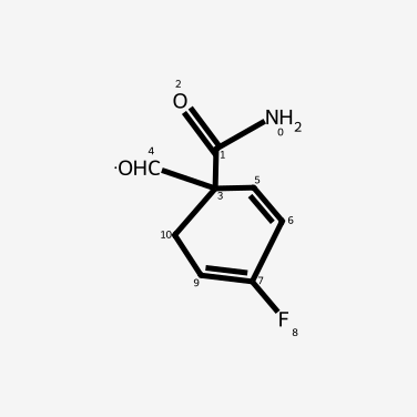 NC(=O)C1([C]=O)C=CC(F)=CC1